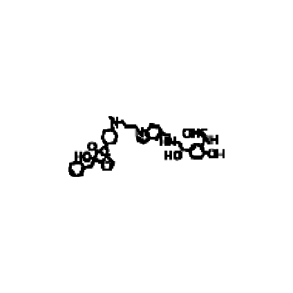 CN(CCCn1ccc2cc(CNCC(O)c3ccc(O)c(NC=O)c3)ccc21)C1CCC(OC(=O)C(O)(Cc2ccccc2)c2cccs2)CC1